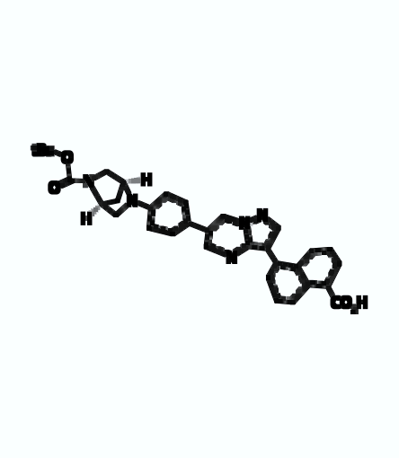 CC(C)(C)OC(=O)N1C[C@@H]2C[C@H]1CN2c1ccc(-c2cnc3c(-c4cccc5c(C(=O)O)cccc45)cnn3c2)cc1